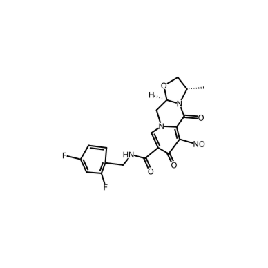 C[C@H]1CO[C@@H]2Cn3cc(C(=O)NCc4ccc(F)cc4F)c(=O)c(N=O)c3C(=O)N12